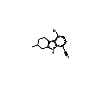 CC1CCc2c([nH]c3c(C#N)ccc(Br)c23)C1